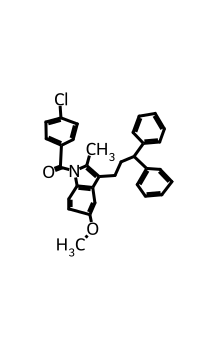 COc1ccc2c(c1)c(CCC(c1ccccc1)c1ccccc1)c(C)n2C(=O)c1ccc(Cl)cc1